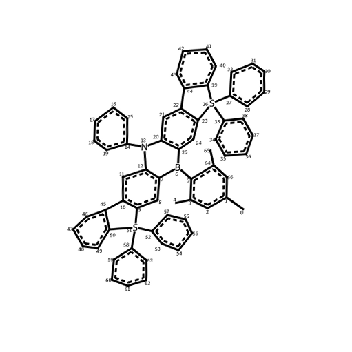 Cc1cc(C)c(B2c3cc4c(cc3N(c3ccccc3)c3cc5c(cc32)S(c2ccccc2)(c2ccccc2)c2ccccc2-5)-c2ccccc2S4(c2ccccc2)c2ccccc2)c(C)c1